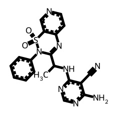 CC(Nc1ncnc(N)c1C#N)C1=Nc2ccncc2S(=O)(=O)N1c1ccccc1